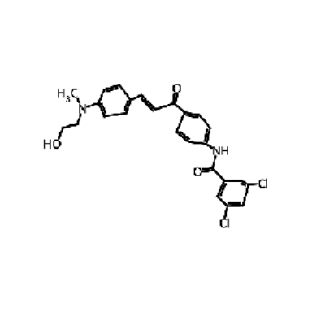 CN(CCO)c1ccc(/C=C/C(=O)c2ccc(NC(=O)c3cc(Cl)cc(Cl)c3)cc2)cc1